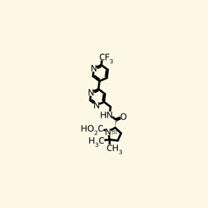 CC1(C)CC[C@@H](C(=O)NCc2cc(-c3ccc(C(F)(F)F)nc3)ncn2)N1C(=O)O